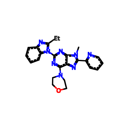 CCc1nc2ccccc2n1-c1nc(N2CCOCC2)c2nc(-c3ccccn3)n(C)c2n1